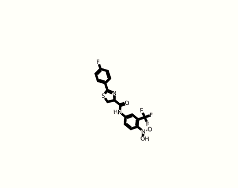 O=C(Nc1ccc([N+](=O)O)c(C(F)(F)F)c1)C1CSC(c2ccc(F)cc2)=N1